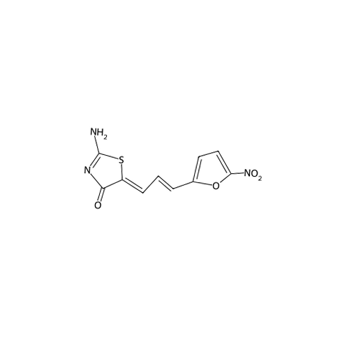 NC1=NC(=O)/C(=C/C=C/c2ccc([N+](=O)[O-])o2)S1